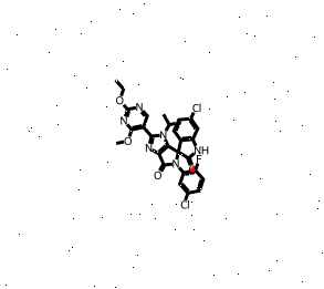 CCOc1ncc(-c2nc3c(n2C(C)C)C2(C(=O)Nc4cc(Cl)ccc42)N(c2cc(Cl)ccc2F)C3=O)c(OC)n1